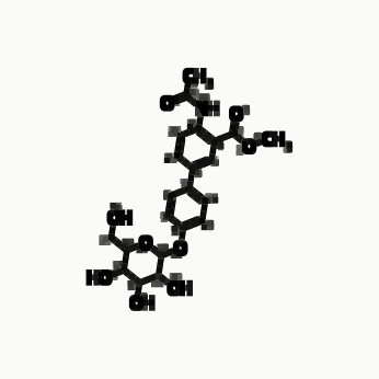 COC(=O)c1cc(-c2ccc(OC3OC(CO)C(O)C(O)C3O)cc2)ccc1NC(C)=O